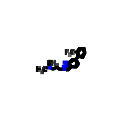 CN(C)CCCn1cc2ccc(-c3ccccc3C(F)(F)F)cc2n1